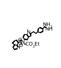 CCOC(=O)CN(c1ccc2c(c1)cc(CCc1ccc(C(=N)N)cc1)n2C)S(=O)(=O)c1cccc2cccnc12